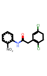 O=C(CC1=C(Cl)[CH]CC(Cl)=C1)Nc1ccccc1[N+](=O)[O-]